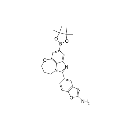 CC1(C)OB(c2cc3c4c(c2)nc(-c2ccc5oc(N)nc5c2)n4CCCO3)OC1(C)C